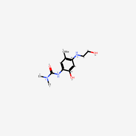 CCN(CC)C(=O)Nc1cc(OC)c(NCCO)cc1O